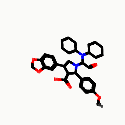 COc1ccc(C2C(C(=O)O)C(c3ccc4c(c3)OCO4)CN2C(C=O)N(C2CCCCC2)C2CCCCC2)cc1